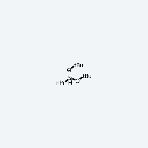 CCC[SiH](OC(C)(C)C)OC(C)(C)C